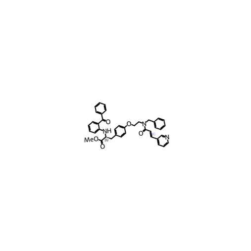 COC(=O)[C@H](Cc1ccc(OCCN(Cc2ccccc2)C(=O)/C=C/c2cccnc2)cc1)Nc1ccccc1C(=O)c1ccccc1